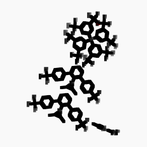 CC#N.CC1C(C)N1c1c(-c2ccc(C(F)(F)F)cc2)cccc1-c1ccc(C(F)(F)F)cc1.CC1C(C)N1c1c(-c2ccc(C(F)(F)F)cc2)cccc1-c1ccc(C(F)(F)F)cc1.FC(F)(F)c1cc([B-](c2cc(C(F)(F)F)cc(C(F)(F)F)c2)(c2cc(C(F)(F)F)cc(C(F)(F)F)c2)c2cc(C(F)(F)F)cc(C(F)(F)F)c2)cc(C(F)(F)F)c1.[CH3][Pd+]